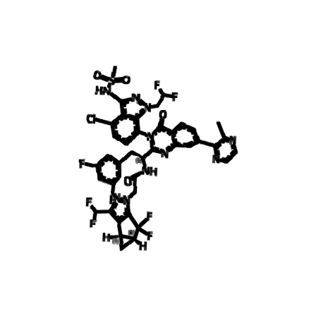 Cc1nccnc1-c1ccc2c(=O)n(-c3ccc(Cl)c4c(NS(C)(=O)=O)nn(CC(F)F)c34)c([C@H](Cc3cc(F)cc(F)c3)NC(=O)Cn3nc(C(F)F)c4c3C(F)(F)[C@@H]3C[C@H]43)nc2c1